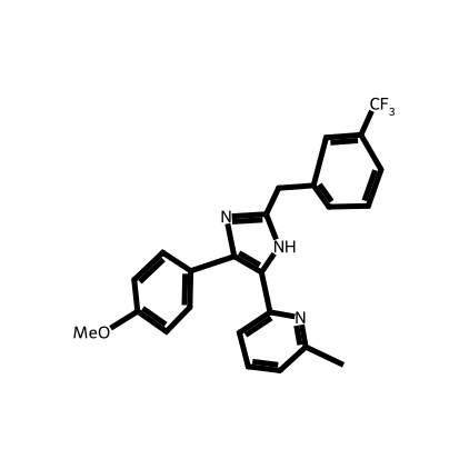 COc1ccc(-c2nc(Cc3cccc(C(F)(F)F)c3)[nH]c2-c2cccc(C)n2)cc1